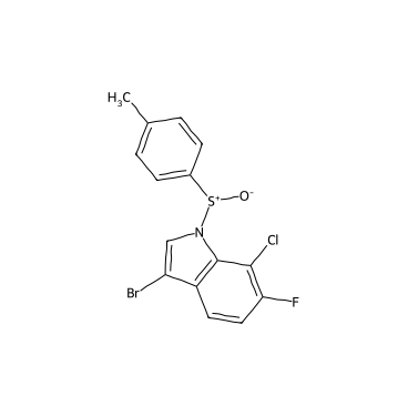 Cc1ccc([S+]([O-])n2cc(Br)c3ccc(F)c(Cl)c32)cc1